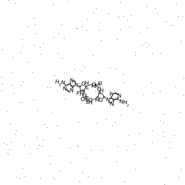 Nc1ncnc2c1ncn2[C@@H]1O[C@@H]2CO[PH](=O)O[C@H]3C[C@H](n4cnc5c(N)ncnc54)O[C@@H]3CO[P@@](=O)(S)O[C@H]2[C@H]1F